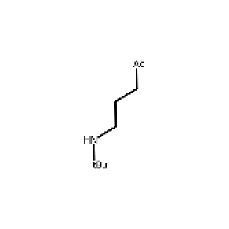 CC(=O)CCCNC(C)(C)C